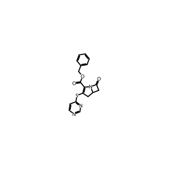 O=C(OCc1ccccc1)C1=C(Sc2ccncn2)CC2CC(=O)N12